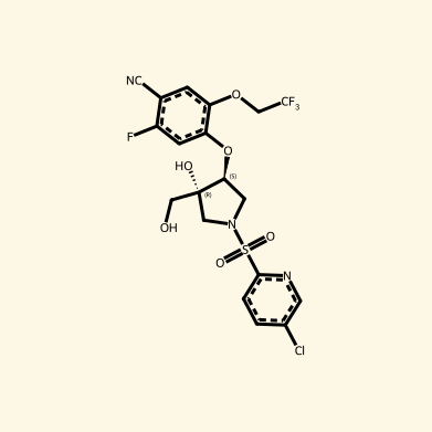 N#Cc1cc(OCC(F)(F)F)c(O[C@H]2CN(S(=O)(=O)c3ccc(Cl)cn3)C[C@@]2(O)CO)cc1F